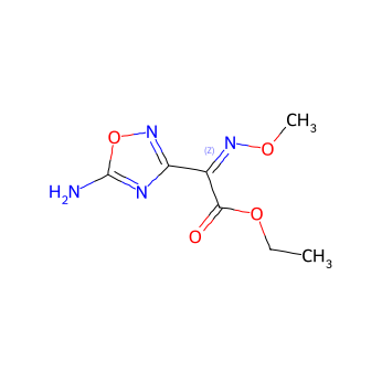 CCOC(=O)/C(=N\OC)c1noc(N)n1